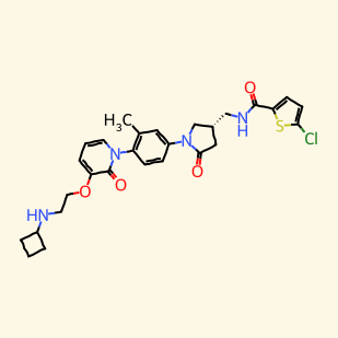 Cc1cc(N2C[C@H](CNC(=O)c3ccc(Cl)s3)CC2=O)ccc1-n1cccc(OCCNC2CCC2)c1=O